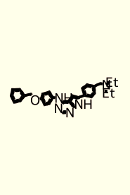 CCN(CC)Cc1ccc(-c2cc3c(Nc4ccc(OCc5ccccc5)cc4)ncnc3[nH]2)cc1